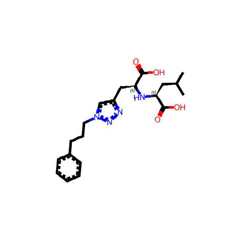 CC(C)C[C@H](N[C@@H](Cc1cn(CCCc2ccccc2)nn1)C(=O)O)C(=O)O